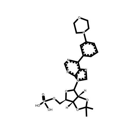 CC1(C)O[C@@H]2[C@@H](COP(=O)(O)O)OC(n3cnc4c(-c5cccc(N6CCOCC6)c5)ncnc43)[C@@H]2O1